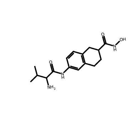 CC(C)C(N)C(=O)Nc1ccc2c(c1)CCC(C(=O)NO)C2